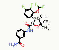 C[C@@H]1[C@@H](c2ccc(F)c(F)c2OC(F)F)[C@H](C(=O)Nc2cccc(C(N)=O)c2)O[C@@]1(C)C(F)(F)F